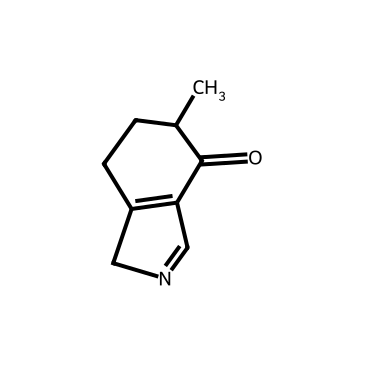 CC1CCC2=C(C=NC2)C1=O